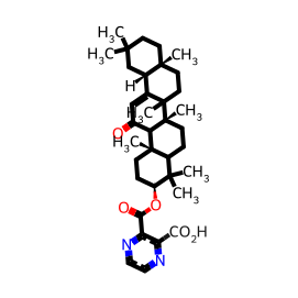 CC1(C)CC[C@]2(C)CCC3(C)C(=CC(=O)C4[C@@]5(C)CC[C@H](OC(=O)c6nccnc6C(=O)O)C(C)(C)C5CC[C@]43C)[C@@H]2C1